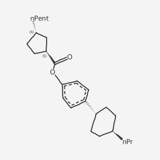 CCCCC[C@H]1CC[C@H](C(=O)Oc2ccc([C@H]3CC[C@H](CCC)CC3)cc2)C1